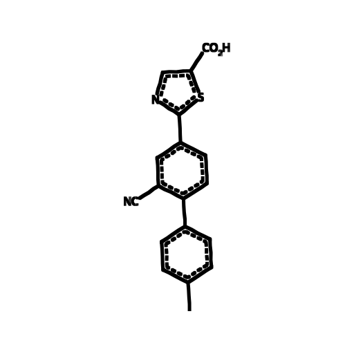 Cc1ccc(-c2ccc(-c3ncc(C(=O)O)s3)cc2C#N)cc1